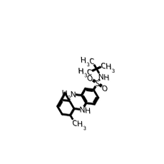 CC1CC=C2CC2C1Nc1ccc(S(=O)(=O)NC(C)(C)C)cc1N